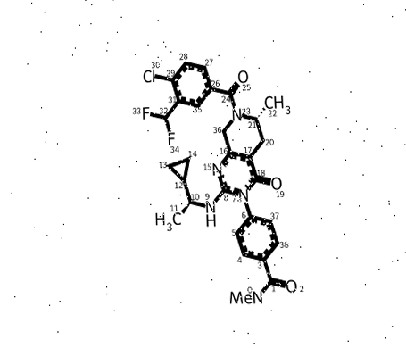 CNC(=O)c1ccc(-n2c(N[C@@H](C)C3CC3)nc3c(c2=O)C[C@@H](C)N(C(=O)c2ccc(Cl)c(C(F)F)c2)C3)cc1